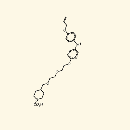 C=CCOc1ccc(Nc2cnc(OCCOCCOCC3CCN(C(=O)O)CC3)nc2)cc1